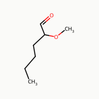 CCCCC(C=O)OC